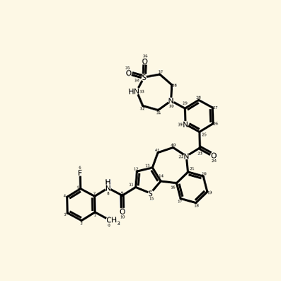 Cc1cccc(F)c1NC(=O)c1cc2c(s1)-c1ccccc1N(C(=O)c1cccc(N3CCNS(=O)(=O)CC3)n1)CC2